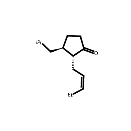 CC/C=C\C[C@H]1C(=O)CC[C@@H]1CC(C)C